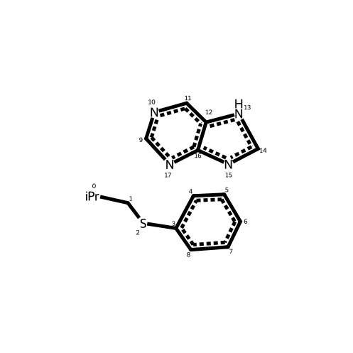 CC(C)CSc1ccccc1.c1ncc2[nH]cnc2n1